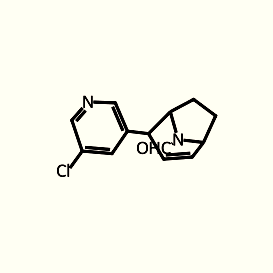 O=CN1C2C=CC(c3cncc(Cl)c3)C1CC2